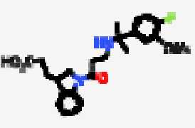 COc1cc(C(C)(C)NCCC(=O)N2CC(CCC(=O)O)c3ccccc32)ccc1F